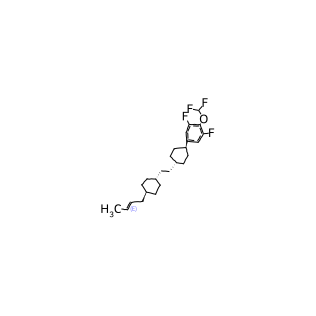 C/C=C/C[C@H]1CC[C@H](CC[C@H]2CC[C@H](c3cc(F)c(OC(F)F)c(F)c3)CC2)CC1